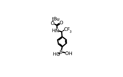 CC(C)(C)OC(=O)N[C@H](c1ccc(B(O)O)cc1)C(F)(F)F